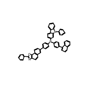 c1ccc(-c2nc3ccc4cc(-c5ccc(N(c6ccc(-c7cccc8ccccc78)cc6)c6ccc7c8ccccc8n(-c8ccccc8)c7c6)cc5)ccc4c3o2)cc1